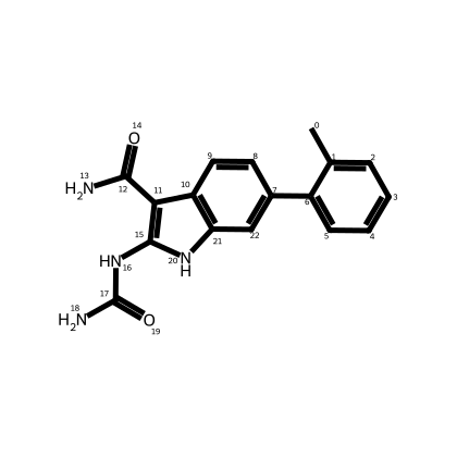 Cc1ccccc1-c1ccc2c(C(N)=O)c(NC(N)=O)[nH]c2c1